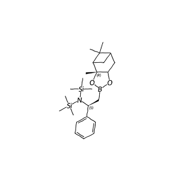 CC1(C)C2CC3OB(C[C@@H](c4ccccc4)N([Si](C)(C)C)[Si](C)(C)C)O[C@]3(C)C1C2